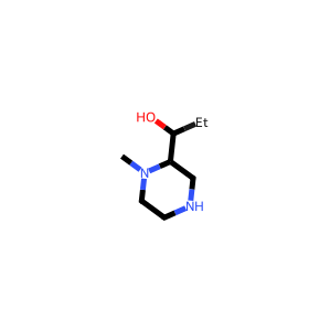 CCC(O)C1CNCCN1C